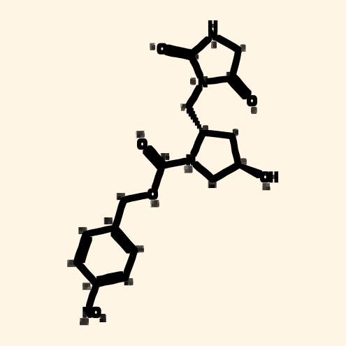 O=C1CNC(=O)N1C[C@@H]1C[C@@H](O)CN1C(=O)OCc1ccc([N+](=O)[O-])cc1